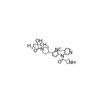 CC(C)(O)C(=O)N1CCC(c2ccc(N(C(=O)C3CNC3)c3cnccc3C#N)cc2)CC1